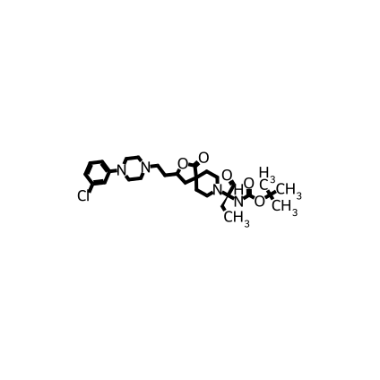 CC[C@@](C=O)(NC(=O)OC(C)(C)C)N1CCC2(CC1)CC(CCN1CCN(c3cccc(Cl)c3)CC1)OC2=O